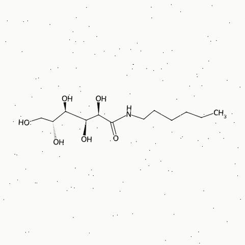 CCCCCCNC(=O)[C@H](O)[C@@H](O)[C@H](O)[C@H](O)CO